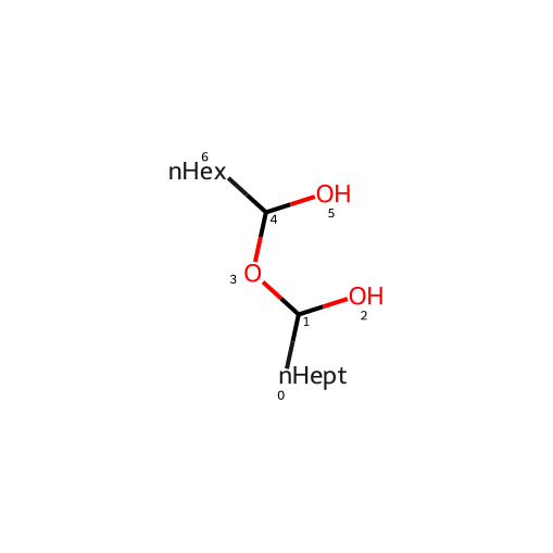 CCCCCCCC(O)OC(O)CCCCCC